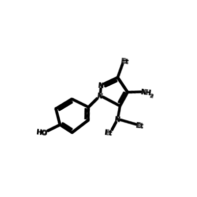 CCc1nn(-c2ccc(O)cc2)c(N(CC)CC)c1N